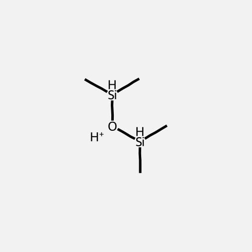 C[SiH](C)O[SiH](C)C.[H+]